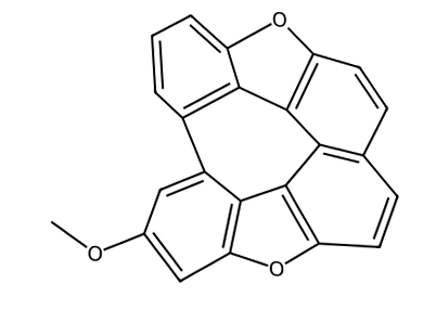 COc1cc2c3c(c1)oc1ccc4ccc5oc6cccc-2c6c5c4c13